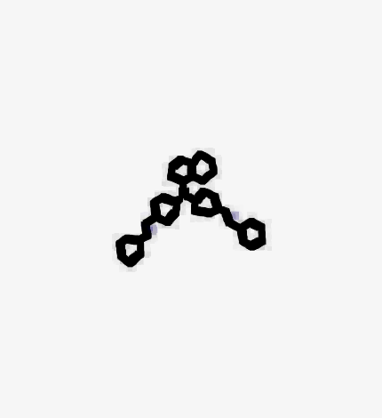 C(=C\c1ccc(N(c2ccc(/C=C/c3ccccc3)cc2)c2cccc3c2CCCC3)cc1)/c1ccccc1